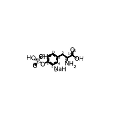 NC(Cc1ccc(OP(=O)(O)O)cc1)C(=O)O.[NaH]